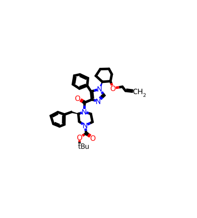 C=CCOC1CCCC[C@@H]1n1cnc(C(=O)N2CCN(C(=O)OC(C)(C)C)C[C@H]2Cc2ccccc2)c1-c1ccccc1